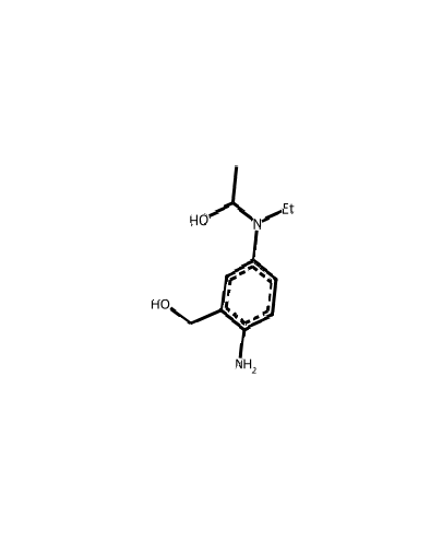 CCN(c1ccc(N)c(CO)c1)C(C)O